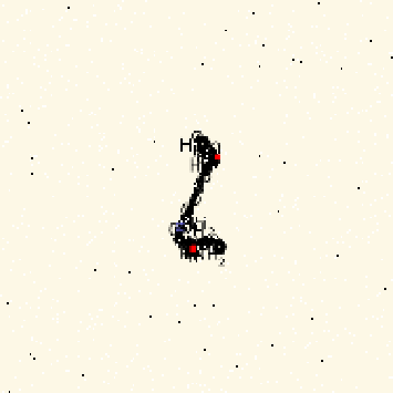 N/C(=C\N(N)CCOCCOCCOCCOCCNc1cccc2c1C(=O)N(C1CCC(=O)NC1=O)C2=O)C(=O)N1CCCC(n2nc(-c3ccc(Oc4ccccc4)cc3)c3c(N)ncnc32)C1